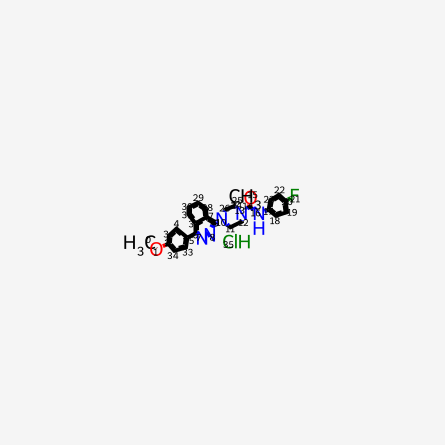 COc1ccc(-c2nnc(N3CCN(C(=O)Nc4ccc(F)cc4)[C@@H](C)C3)c3ccccc23)cc1.Cl